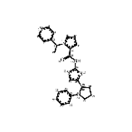 CC(c1ccncc1)n1cccc1C(=O)Nc1nc([C@H]2CCCN2c2ccccc2)cs1